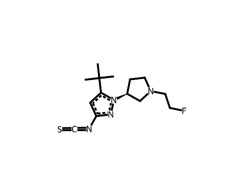 CC(C)(C)c1cc(N=C=S)nn1[C@H]1CCN(CCF)C1